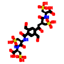 O=Cc1cc(C(=O)N[C@H](CS(=O)(=O)O)C(=O)N[C@H](CS(=O)(=O)O)C(=O)O)c(C=O)cc1C(=O)C[C@H](CS(=O)(=O)O)C(=O)N[C@H](CS(=O)(=O)O)C(=O)O